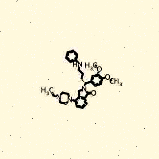 CCN1CCN(c2cccc3c2CN([C@H](CCCNc2ccccc2)c2ccc(OC)c(OC)c2)C3=O)CC1